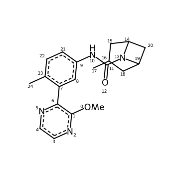 COc1nccnc1-c1cc(NC(=O)N2C3CC(C)CC2C3)ccc1C